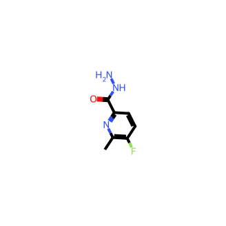 Cc1nc(C(=O)NN)ccc1F